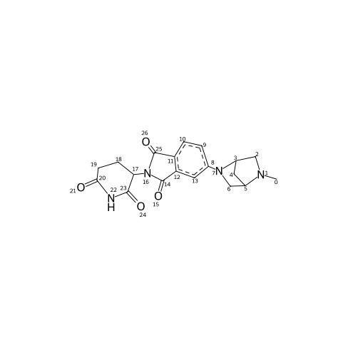 CN1CC2CC1CN2c1ccc2c(c1)C(=O)N(C1CCC(=O)NC1=O)C2=O